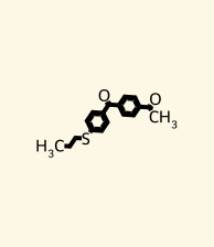 CCCSc1ccc(C(=O)c2ccc(C(C)=O)cc2)cc1